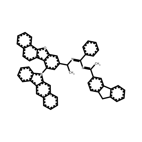 C/C(=N\C(=N/C(C)c1cc(-n2c3ccccc3c3cc4ccccc4cc32)c2c(c1)oc1c3ccccc3ccc12)c1ccccc1)c1ccc2c(c1)-c1ccccc1C2